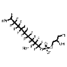 CCCC(F)C(F)(F)C(F)(F)C(F)(F)C(F)(F)C(F)(F)C(F)(F)C(F)(F)C(F)(F)OP(=O)([O-])OCC(O)CCl.[Na+]